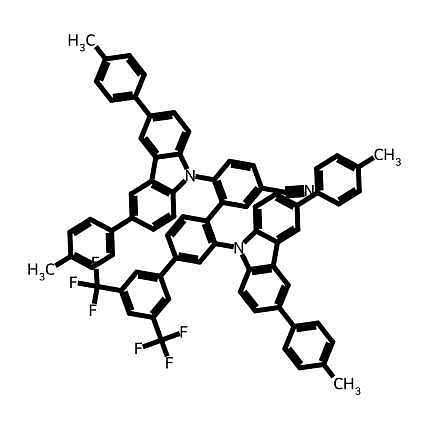 Cc1ccc(-c2ccc3c(c2)c2cc(-c4ccc(C)cc4)ccc2n3-c2ccc(C#N)cc2-c2ccc(-c3cc(C(F)(F)F)cc(C(F)(F)F)c3)cc2-n2c3ccc(-c4ccc(C)cc4)cc3c3cc(-c4ccc(C)cc4)ccc32)cc1